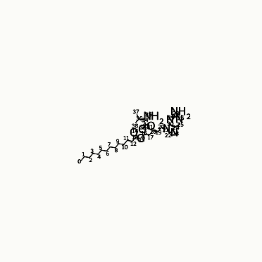 CCCCCCCCCCCCCC(=O)OCCC(CCn1cnc2cnc(N)nc21)OC(=O)[C@@H](N)C(C)C